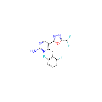 Nc1ncc(-c2nnc(C(F)F)o2)c(Cc2c(F)cccc2F)n1